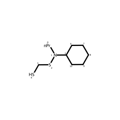 CCCN(SCS)C1CCCCC1